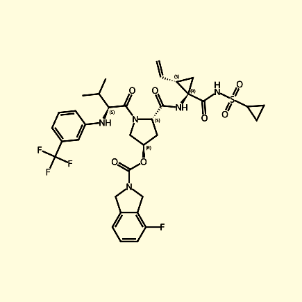 C=C[C@@H]1C[C@]1(NC(=O)[C@@H]1C[C@@H](OC(=O)N2Cc3cccc(F)c3C2)CN1C(=O)[C@@H](Nc1cccc(C(F)(F)F)c1)C(C)C)C(=O)NS(=O)(=O)C1CC1